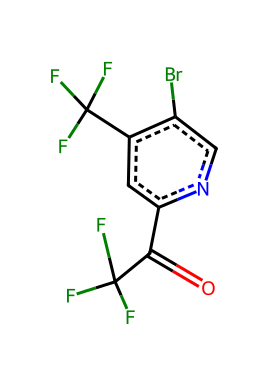 O=C(c1cc(C(F)(F)F)c(Br)cn1)C(F)(F)F